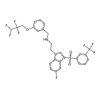 O=S(=O)(c1cccc(C(F)(F)F)c1)n1cc(CCNCc2cccc(OCC(F)(F)C(F)F)c2)c2ccc(F)cc21